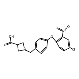 O=C(O)C1CN(Cc2ccc(Oc3ccc(Cl)cc3[N+](=O)[O-])cc2)C1